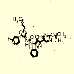 COCCN1C[C@@H](NC(=O)Nc2c(C)c(-c3cnc(OC(C)C)nc3)nn2-c2ccccc2)[C@H](c2ccnc(F)c2)O1